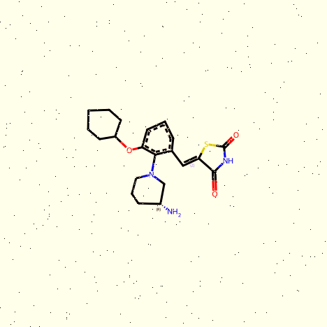 N[C@@H]1CCCN(c2c(/C=C3\SC(=O)NC3=O)cccc2OC2CCCCC2)C1